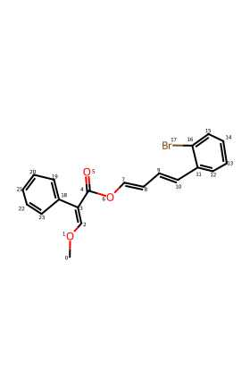 COC=C(C(=O)OC=C/C=C/c1ccccc1Br)c1ccccc1